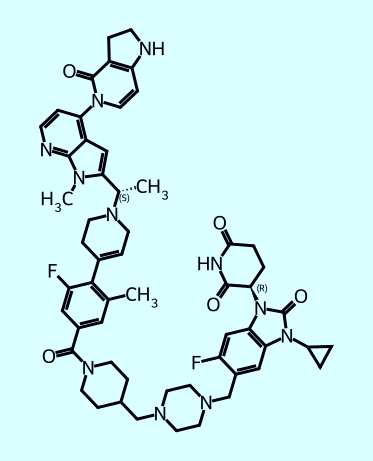 Cc1cc(C(=O)N2CCC(CN3CCN(Cc4cc5c(cc4F)n([C@@H]4CCC(=O)NC4=O)c(=O)n5C4CC4)CC3)CC2)cc(F)c1C1=CCN([C@@H](C)c2cc3c(-n4ccc5c(c4=O)CCN5)ccnc3n2C)CC1